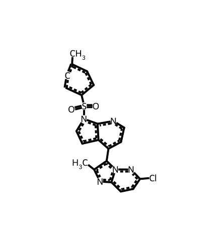 Cc1ccc(S(=O)(=O)n2ccc3c(-c4c(C)nc5ccc(Cl)nn45)ccnc32)cc1